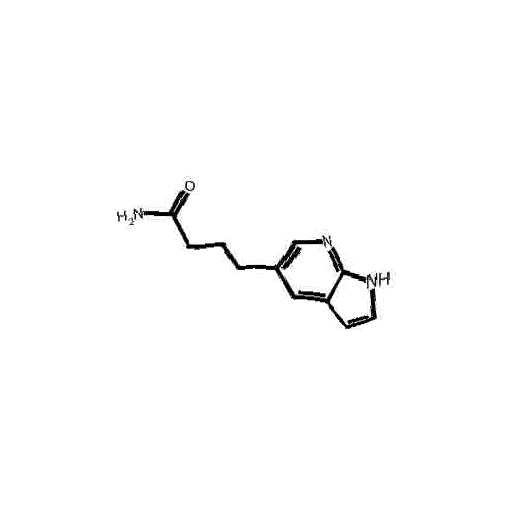 NC(=O)CCCc1cnc2[nH]ccc2c1